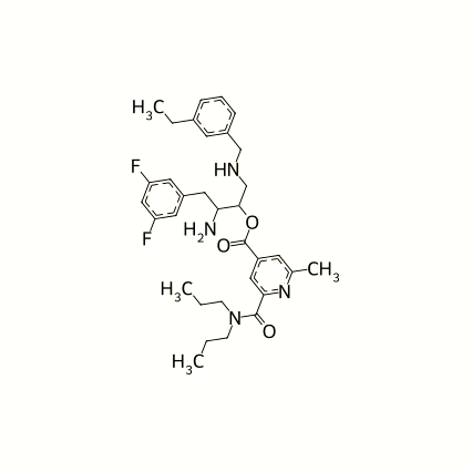 CCCN(CCC)C(=O)c1cc(C(=O)OC(CNCc2cccc(CC)c2)C(N)Cc2cc(F)cc(F)c2)cc(C)n1